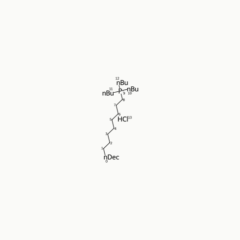 CCCCCCCCCCCCCCCCCC[P](CCCC)(CCCC)CCCC.Cl